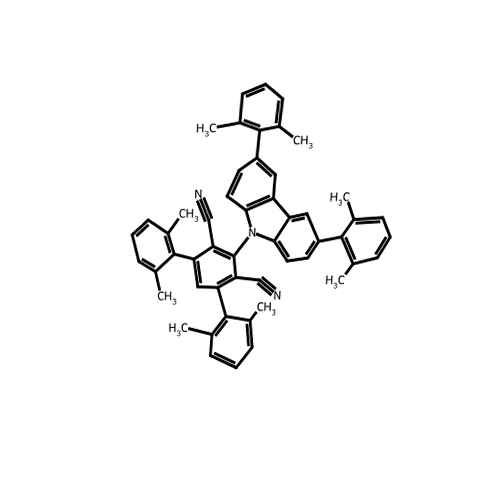 Cc1cccc(C)c1-c1ccc2c(c1)c1cc(-c3c(C)cccc3C)ccc1n2-c1c(C#N)c(-c2c(C)cccc2C)cc(-c2c(C)cccc2C)c1C#N